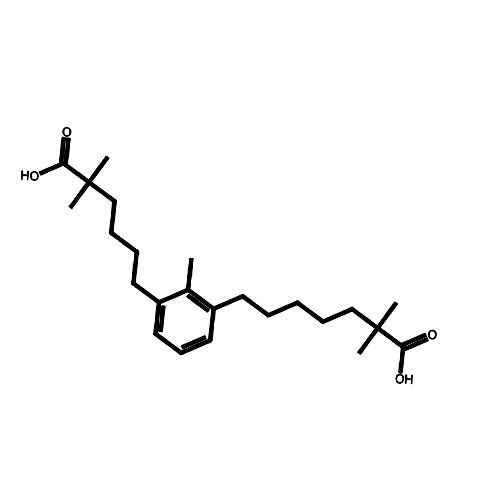 Cc1c(CCCCCC(C)(C)C(=O)O)cccc1CCCCC(C)(C)C(=O)O